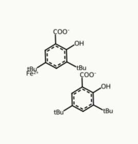 CC(C)(C)c1cc(C(=O)[O-])c(O)c(C(C)(C)C)c1.CC(C)(C)c1cc(C(=O)[O-])c(O)c(C(C)(C)C)c1.[Fe+2]